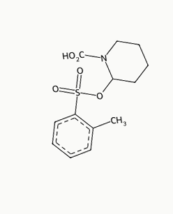 Cc1ccccc1S(=O)(=O)OC1CCCCN1C(=O)O